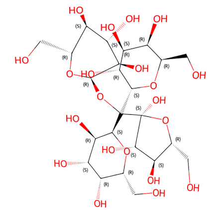 OC[C@H]1O[C@H](C(O[C@H]2O[C@H](CO)[C@@H](O)[C@H](O)[C@H]2O)([C@H]2O[C@H](CO)[C@H](O)[C@H](O)[C@H]2O)[C@@]2(O)O[C@H](CO)[C@@H](O)[C@@H]2O)[C@H](O)[C@@H](O)[C@H]1O